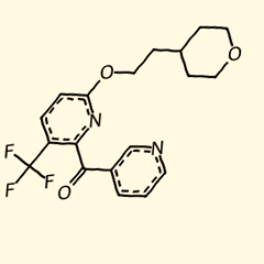 O=C(c1cccnc1)c1nc(OCCC2CCOCC2)ccc1C(F)(F)F